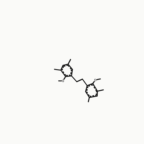 COc1c(C)cc(C)cc1CCc1cc(C)cc(C)c1OC